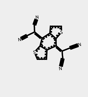 N#CC(C#N)=c1c2ccsc2c(=C(C#N)C#N)c2ccsc12